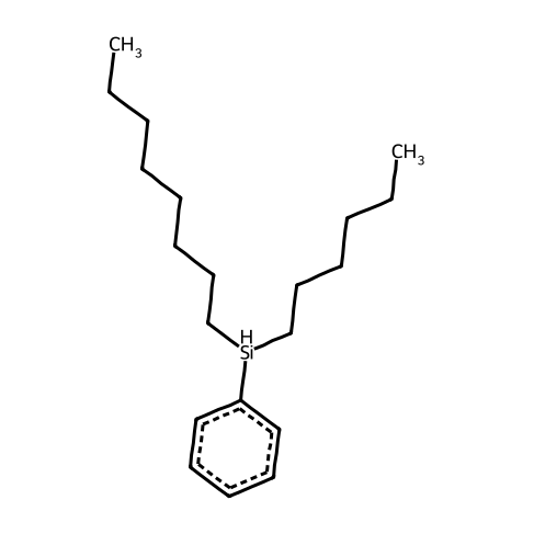 CCCCCCCC[SiH](CCCCCC)c1ccccc1